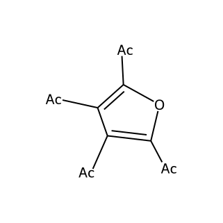 CC(=O)c1oc(C(C)=O)c(C(C)=O)c1C(C)=O